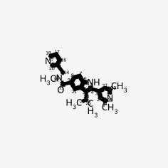 Cc1cc(-c2[nH]c3ccc(C(=O)N(C)Cc4cccnc4)cc3c2C(C)C)cc(C)n1